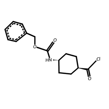 O=C(N[C@H]1CC[C@H](C(=O)Cl)CC1)OCc1ccccc1